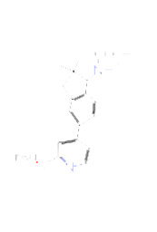 CC(C)(C)Oc1cc(-c2ccc3c(c2)CC(C)(C)C3NC(=O)O)ccn1